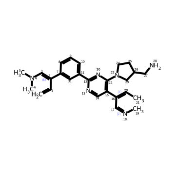 C=C/C(=C\N(C)C)c1cccc(-c2ncc(C(/C=N\C)=C/C)c(N3CCC(CN)C3)n2)c1